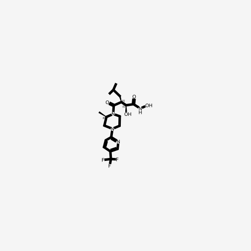 CC(C)C[C@H](C(=O)N1CCN(c2ccc(C(F)(F)F)cn2)C[C@H]1C)[C@H](O)C(=O)NO